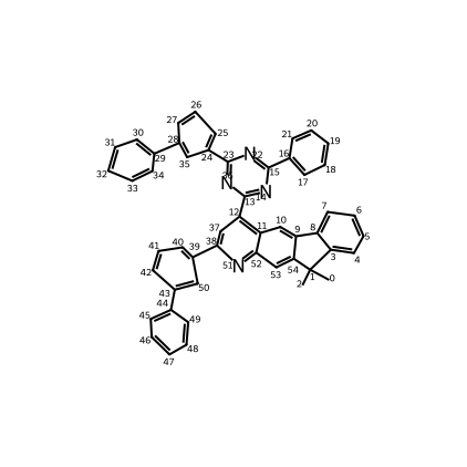 CC1(C)c2ccccc2-c2cc3c(-c4nc(-c5ccccc5)nc(-c5cccc(-c6ccccc6)c5)n4)cc(-c4cccc(-c5ccccc5)c4)nc3cc21